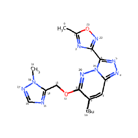 Cc1nc(-c2nnc3cc(C(C)(C)C)c(OCc4ncnn4C)nn23)no1